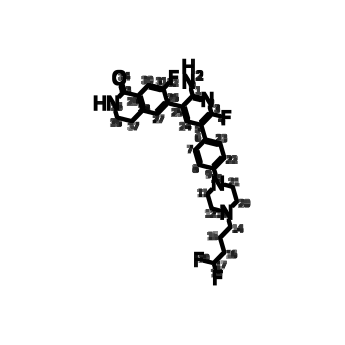 Nc1nc(F)c(-c2ccc(N3CCN(CCCC(F)F)CC3)cc2)cc1-c1cc2c(cc1F)C(=O)NCC2